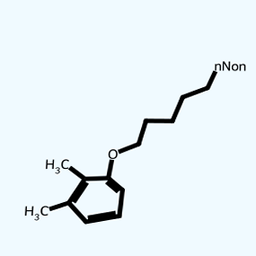 CCCCCCCCCCCCCCOc1cccc(C)c1C